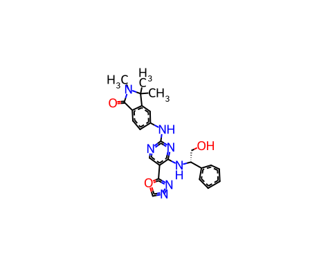 CN1C(=O)c2ccc(Nc3ncc(-c4nnco4)c(N[C@H](CO)c4ccccc4)n3)cc2C1(C)C